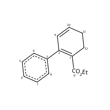 CCOC(=O)C1=C(c2ccccc2)C=CCC1